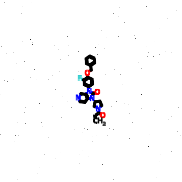 C=CC(=O)N1CC[C@@H](n2c(=O)n(-c3ccc(OCc4ccccc4)c(F)c3)c3cnccc32)C1